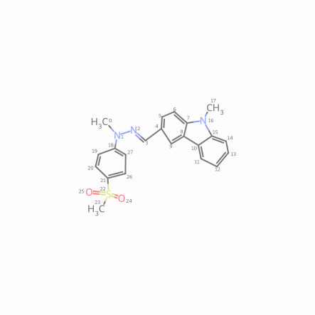 CN(/N=C/c1ccc2c(c1)c1ccccc1n2C)c1ccc(S(C)(=O)=O)cc1